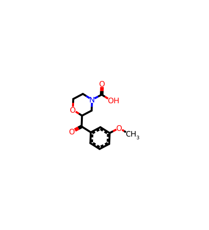 COc1cccc(C(=O)C2CN(C(=O)O)CCO2)c1